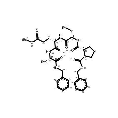 CC(C)C[C@H](NC(=O)[C@@H]1CCCN1C(=O)OCc1ccccc1)C(=O)N[C@@H](CCC(=O)OC(C)(C)C)C(=O)N[C@H](C(=O)NCc1ccccc1)C(C)C